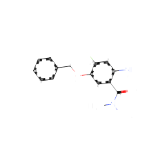 CN(C)C(=O)c1cc(OCc2ccccc2)c(F)cc1N